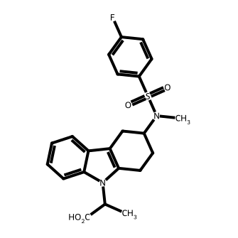 CC(C(=O)O)n1c2c(c3ccccc31)CC(N(C)S(=O)(=O)c1ccc(F)cc1)CC2